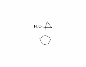 CC1([C]2CCCC2)CC1